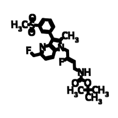 Cc1c(-c2cccc(S(C)(=O)=O)c2)c2nc(CF)ccc2n1CC(F)=CCNC(=O)OC(C)(C)C